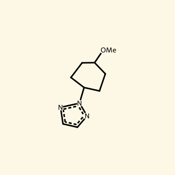 COC1CCC(n2nccn2)CC1